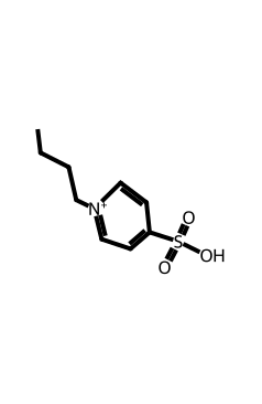 CCCC[n+]1ccc(S(=O)(=O)O)cc1